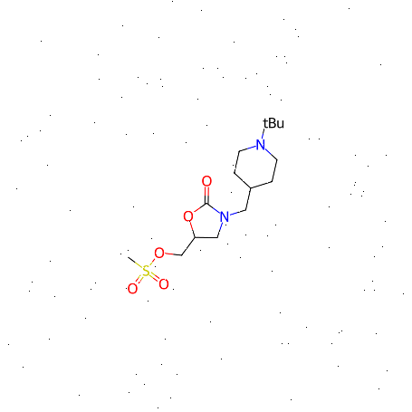 CC(C)(C)N1CCC(CN2CC(COS(C)(=O)=O)OC2=O)CC1